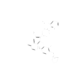 N#Cc1cccnc1N1CCN(c2c(F)cc3c(=O)ccn(-c4ccc(CN5CCCC5)c(F)c4)c3c2Cl)CC1